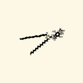 CC#CC#CC#CC#CC#CC#CC#CC(=O)OC[C@H](COP(=O)(O)OC1C(O)[C@@H](O)C(OP(=O)(O)O)[C@@H](O)[C@H]1O)OC(=O)CCCCCCCCCCCCCCC